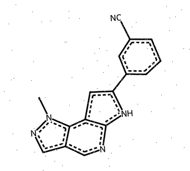 Cn1ncc2cnc3[nH]c(-c4cccc(C#N)c4)cc3c21